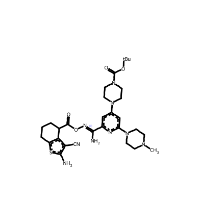 CN1CCN(c2cc(N3CCN(C(=O)OC(C)(C)C)CC3)cc(/C(N)=N/OC(=O)C3CCCc4sc(N)c(C#N)c43)n2)CC1